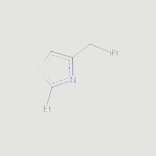 CCc1nc(CC(C)C)cs1